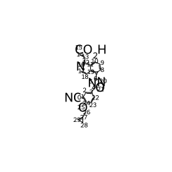 N#Cc1cc(-c2nc(-c3cccc4c(CCC(=O)O)nccc34)no2)ccc1OCC1CC1